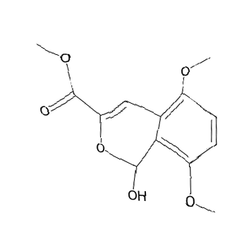 COC(=O)C1=Cc2c(OC)ccc(OC)c2C(O)O1